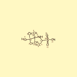 CC(NC(C)(C)C(C)(C)O)S(=O)(=O)O